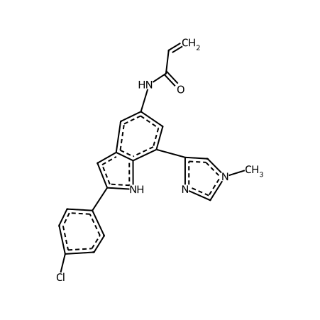 C=CC(=O)Nc1cc(-c2cn(C)cn2)c2[nH]c(-c3ccc(Cl)cc3)cc2c1